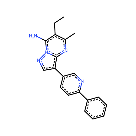 CCc1c(C)nc2c(-c3ccc(-c4ccccc4)nc3)cnn2c1N